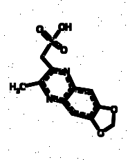 Cc1nc2cc3c(cc2nc1CS(=O)(=O)O)OCO3